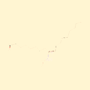 CCCCCCCC/C=C(\CCCCCCCC(=O)O)NOC